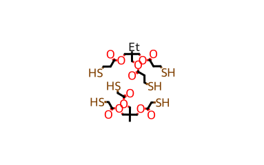 CC(COC(=O)CS)(COC(=O)CS)COC(=O)CS.CCC(COC(=O)CCS)(COC(=O)CCS)COC(=O)CCS